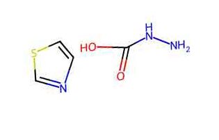 NNC(=O)O.c1cscn1